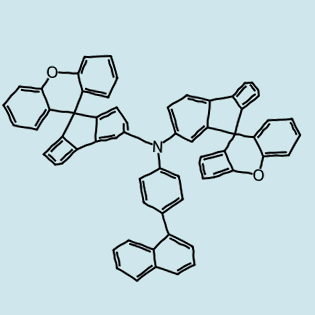 c1ccc2c(c1)Oc1ccccc1C21c2ccccc2-c2cc(N(c3ccc(-c4cccc5ccccc45)cc3)c3ccc4c(c3)C3(c5ccccc5Oc5ccccc53)c3ccccc3-4)ccc21